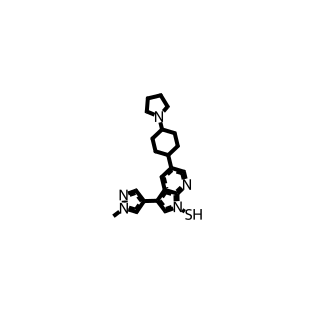 Cn1cc(-c2cn(S)c3ncc(C4CCC(N5CCCC5)CC4)cc23)cn1